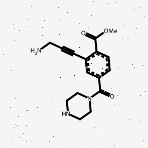 COC(=O)c1ccc(C(=O)N2CCNCC2)cc1C#CCN